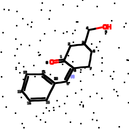 O=C1CC(CO)CC/C1=C/c1ccccc1